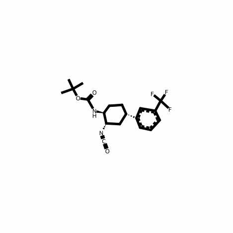 CC(C)(C)OC(=O)N[C@H]1CC[C@H](c2cccc(C(F)(F)F)c2)C[C@@H]1N=C=O